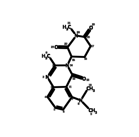 Cc1nc2cccc(N(C)C)c2c(=O)n1C1CCC(=O)N(C)C1=O